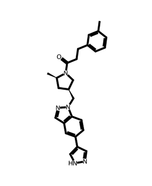 Cc1cccc(CCC(=O)N2C[C@@H](Cn3ncc4cc(-c5cn[nH]c5)ccc43)C[C@H]2C)c1